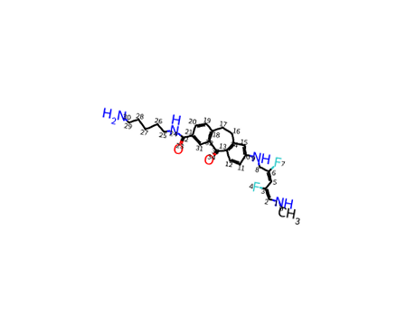 CN/C=C(F)\C=C(\F)CNc1ccc2c(c1)CCc1ccc(C(=O)NCCCCCN)cc1C2=O